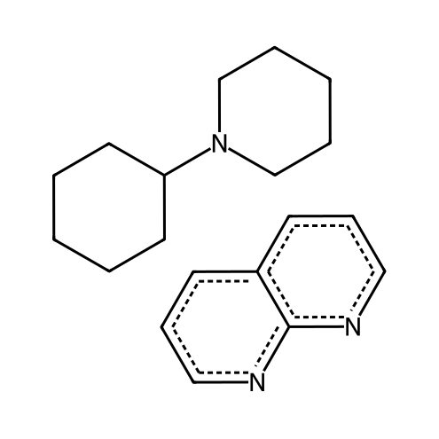 C1CCC(N2CCCCC2)CC1.c1cnc2ncccc2c1